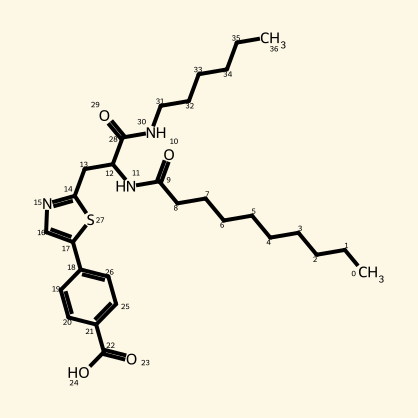 CCCCCCCCCC(=O)NC(Cc1ncc(-c2ccc(C(=O)O)cc2)s1)C(=O)NCCCCCC